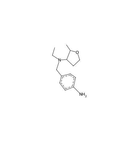 CCN(Cc1ccc(N)cc1)C1CCOC1C